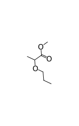 CCCOC(C)C(=O)OC